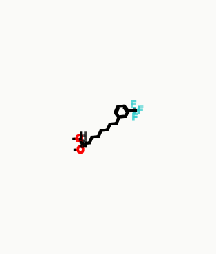 CO[SiH](CCCCCCCc1cccc(C(F)(F)F)c1)OC